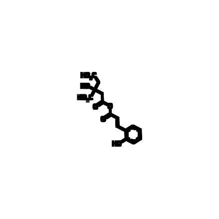 O=C(O)CC(O)(CC(=O)OC(=O)/C=C/c1ccccc1O)C(=O)O